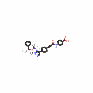 C=C(Nc1c(-c2ccc(C#CC(=O)Nc3ccc(C(=O)O)cc3)cc2)cnn1C)O[C@H](C)c1ccccc1